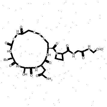 CCC(C)C1NC(=O)CNC(=O)CCSSC[C@@H](C(=O)N2CCC2C(=O)NCC(=O)NCC=O)NC(=O)C(CC(N)=O)NC(=O)C(O)NC1=O